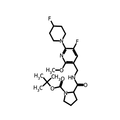 COc1nc(N2CCC(F)CC2)c(F)cc1CNC(=O)C1CCCN1C(=O)OC(C)(C)C